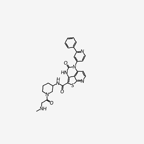 CNCC(=O)N1CCCC(NC(=O)c2sc3nccc4c3c2NC(=O)N4c2ccnc(-c3ccccc3)c2)C1